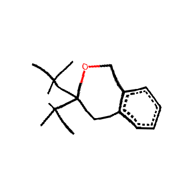 CC(C)(C)C1(C(C)(C)C)Cc2ccccc2CO1